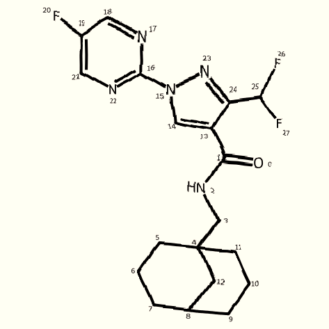 O=C(NCC12CCCC(CCC1)C2)c1cn(-c2ncc(F)cn2)nc1C(F)F